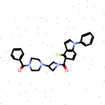 O=C(c1ccccc1)N1CCN(C2CN(C(=O)c3ccc4c(ccn4-c4ccccc4)c3F)C2)CC1